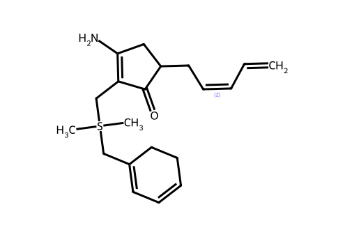 C=C/C=C\CC1CC(N)=C(CS(C)(C)CC2=CC=CCC2)C1=O